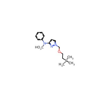 C[Si](C)(C)CCOCn1ccc(N(C(=O)O)c2ccccc2)n1